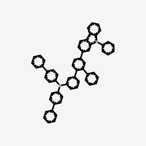 c1ccc(-c2ccc(N(c3ccc(-c4ccccc4)cc3)c3cccc(-c4ccc(-c5ccc6c7ccccc7n(-c7ccccc7)c6c5)cc4-c4ccccc4)c3)cc2)cc1